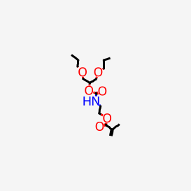 C=C(C)C(=O)OCCNC(=O)OC(COCCC)COCCC